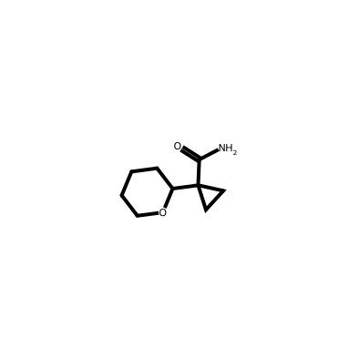 NC(=O)C1(C2CCCCO2)CC1